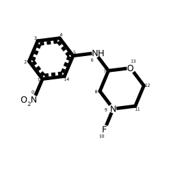 O=[N+]([O-])c1cccc(NC2CN(F)CCO2)c1